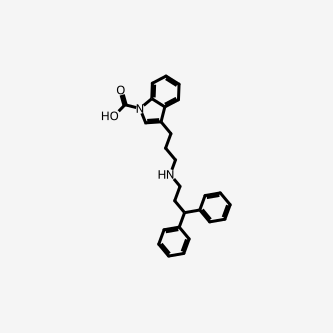 O=C(O)n1cc(CCCNCCC(c2ccccc2)c2ccccc2)c2ccccc21